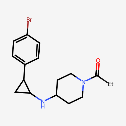 CCC(=O)N1CCC(NC2CC2c2ccc(Br)cc2)CC1